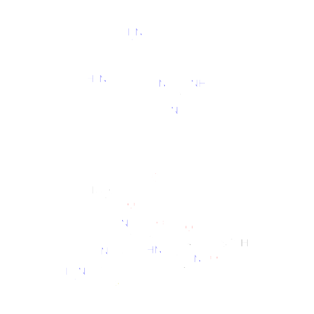 CC1(C)C(NC(=O)/C(=N\OC(COc2ccc3c(c2)CN(C(=N)N(CCCN)CCCN)C3)C(=O)O)c2csc(N)n2)C(=O)N1OS(=O)(=O)O